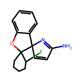 NC1=NC2(C=C1)c1ccccc1OC21CCCCC1F